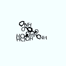 Cl.O=C(NC1CCCCC1)c1ccc(C(=O)NC2CCNCC2)cc1.O=C(O)O